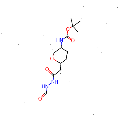 CC(C)(C)OC(=O)NC1CC[C@@H](CC(=O)NNC=O)OC1